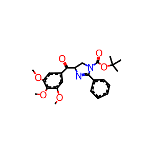 COc1cc(C(=O)C2CN(C(=O)OC(C)(C)C)C(c3ccccc3)=N2)cc(OC)c1OC